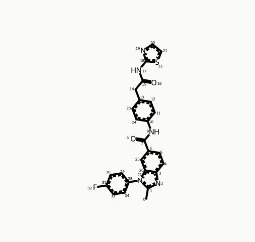 Cc1nc2ccc(C(=O)Nc3ccc(CC(=O)Nc4nccs4)cc3)cc2n1-c1ccc(F)cc1